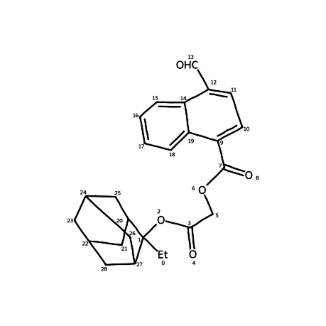 CCC1(OC(=O)COC(=O)c2ccc(C=O)c3ccccc23)C2CC3CC(C2)CC1C3